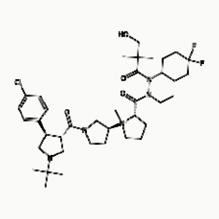 CCN(C(=O)[C@@H]1CCC[N+]1(C)[C@H]1CCN(C(=O)[C@@H]2CN(C(C)(C)C)C[C@H]2c2ccc(Cl)cc2)C1)N(C(=O)C(C)(C)CO)C1CCC(F)(F)CC1